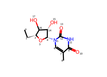 CC[C@H]1O[C@@H](n2cc(C)c(=O)[nH]c2=O)[C@@H](O)C1O